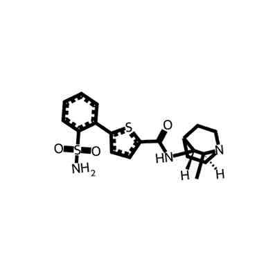 C[C@H]1[C@H](NC(=O)c2ccc(-c3ccccc3S(N)(=O)=O)s2)C2CCN1CC2